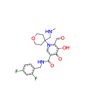 CNCC1(n2cc(C(=O)NCc3ccc(F)cc3F)c(=O)c(O)c2C=O)CCOCC1